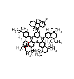 CC(C)(C)c1ccc(N2c3cc4c(cc3B3c5cc6c(cc5N(c5ccc7c(c5)C(C)(C)CCC7(C)C)c5cc(N7c8ccc(F)cc8C8(C)CCCCC78C)cc2c53)C(C)(C)CCC6(C)C)C(C)(C)CCC4(C)C)c(-c2ccccc2)c1